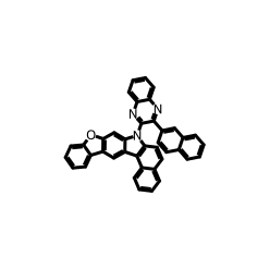 c1ccc2cc(-c3nc4ccccc4nc3-n3c4cc5oc6ccccc6c5cc4c4c5ccccc5ccc43)ccc2c1